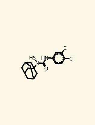 O=C(Nc1ccc(Cl)c(Cl)c1)N(S)C12CC3CC(CC(C3)C1)C2